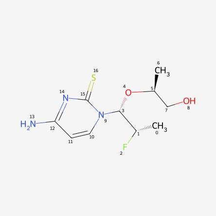 C[C@H](F)[C@@H](O[C@@H](C)CO)n1ccc(N)nc1=S